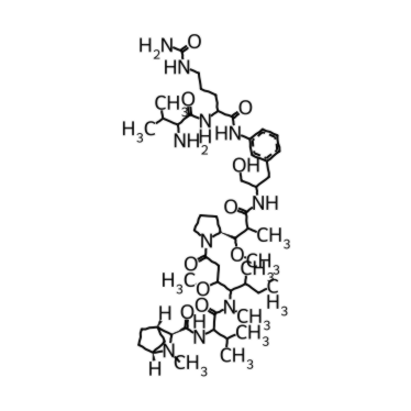 CCC(C)C(C(CC(=O)N1CCC[C@H]1C(OC)C(C)C(=O)NC(CO)Cc1cccc(NC(=O)C(CCCNC(N)=O)NC(=O)C(N)C(C)C)c1)OC)N(C)C(=O)C(NC(=O)[C@@H]1[C@H]2CC[C@H](C2)N1C)C(C)C